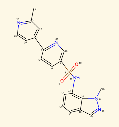 Cc1cc(-c2ccc(S(=O)(=O)Nc3cccc4cnn(C)c34)cn2)ccn1